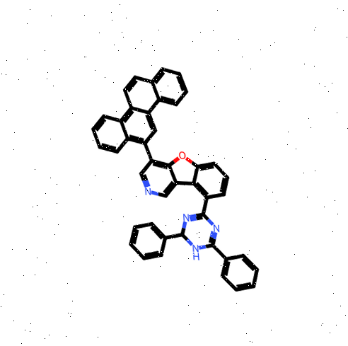 c1ccc(C2=NC(c3cccc4oc5c(-c6cc7c8ccccc8ccc7c7ccccc67)cncc5c34)=NC(c3ccccc3)N2)cc1